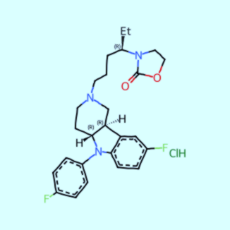 CC[C@H](CCCN1CC[C@@H]2[C@@H](C1)c1cc(F)ccc1N2c1ccc(F)cc1)N1CCOC1=O.Cl